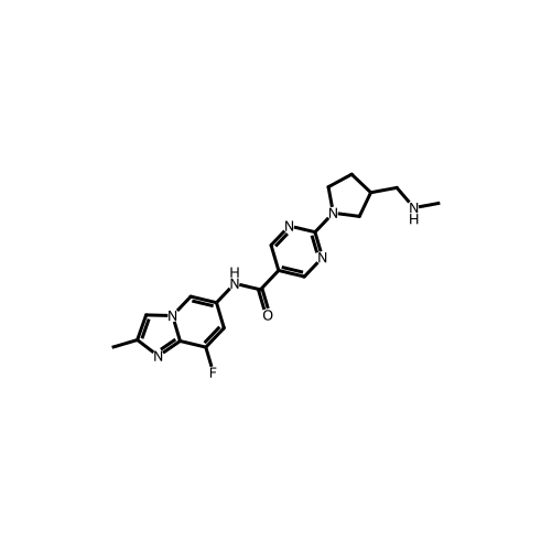 CNCC1CCN(c2ncc(C(=O)Nc3cc(F)c4nc(C)cn4c3)cn2)C1